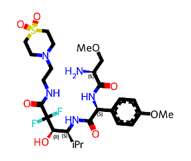 COC[C@H](N)C(=O)N[C@H](C(=O)N[C@@H](C(C)C)[C@@H](O)C(F)(F)C(=O)NCCN1CCS(=O)(=O)CC1)c1ccc(OC)cc1